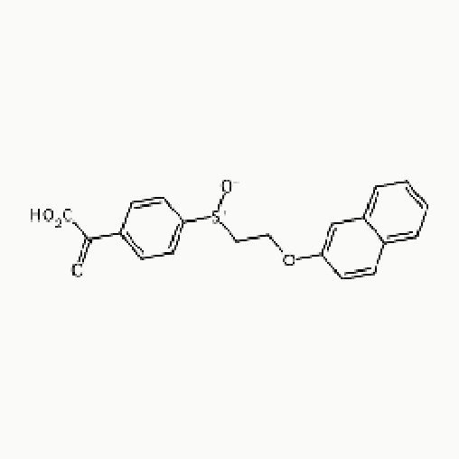 O=C(O)C(=O)c1ccc([S+]([O-])CCOc2ccc3ccccc3c2)cc1